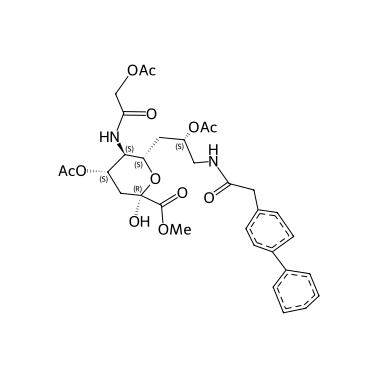 COC(=O)[C@@]1(O)C[C@H](OC(C)=O)[C@@H](NC(=O)COC(C)=O)[C@H](C[C@@H](CNC(=O)Cc2ccc(-c3ccccc3)cc2)OC(C)=O)O1